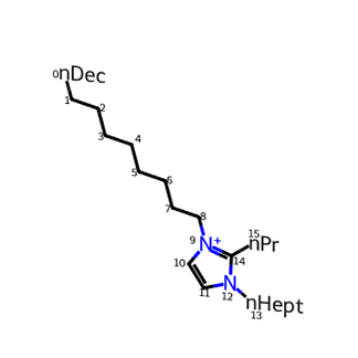 CCCCCCCCCCCCCCCCCC[n+]1ccn(CCCCCCC)c1CCC